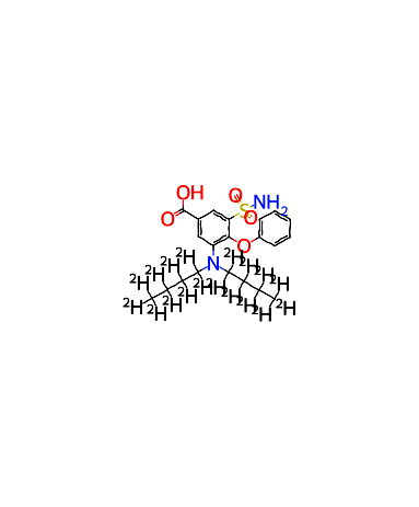 [2H]C([2H])([2H])C([2H])([2H])C([2H])([2H])C([2H])([2H])N(c1cc(C(=O)O)cc(S(N)(=O)=O)c1Oc1ccccc1)C([2H])([2H])C([2H])([2H])C([2H])([2H])C([2H])([2H])[2H]